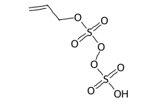 C=CCOS(=O)(=O)OOS(=O)(=O)O